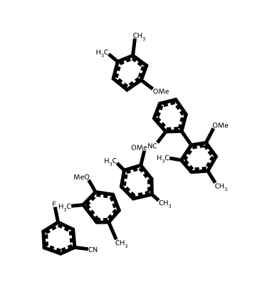 COc1cc(C)cc(C)c1-c1ccccc1C#N.COc1cc(C)ccc1C.COc1ccc(C)c(C)c1.COc1ccc(C)cc1C.N#Cc1cccc(F)c1